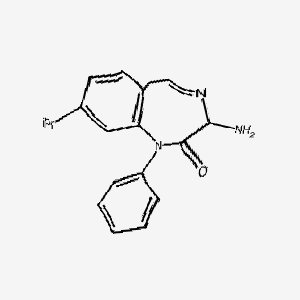 CC(C)c1ccc2c(c1)N(c1ccccc1)C(=O)C(N)N=C2